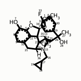 COC[C@@H]1Oc2c(O)ccc3c2[C@@]12CCN(CC1CC1)[C@H](C3)[C@@]2(C)/C=C/C(C)(O)c1ccc(F)cc1